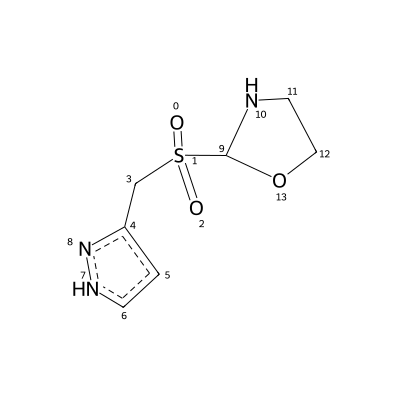 O=S(=O)(Cc1cc[nH]n1)C1NCCO1